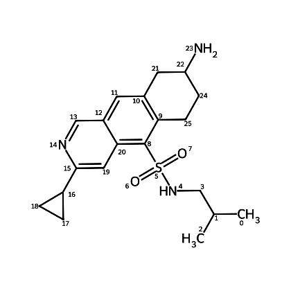 CC(C)CNS(=O)(=O)c1c2c(cc3cnc(C4CC4)cc13)CC(N)CC2